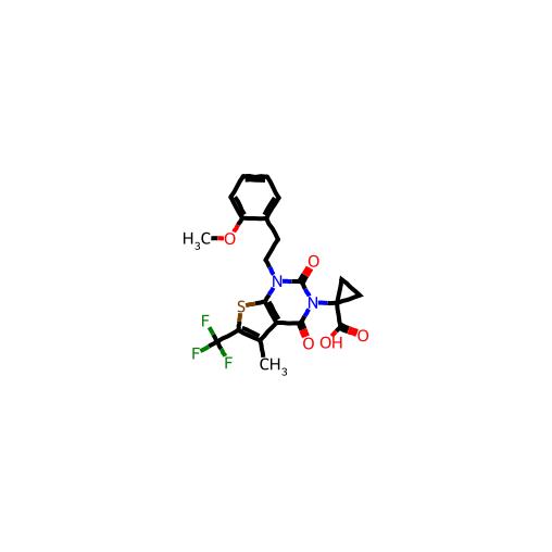 COc1ccccc1CCn1c(=O)n(C2(C(=O)O)CC2)c(=O)c2c(C)c(C(F)(F)F)sc21